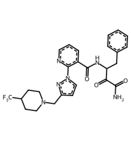 NC(=O)C(=O)C(Cc1ccccc1)NC(=O)c1cccnc1-n1ccc(CN2CCC(C(F)(F)F)CC2)n1